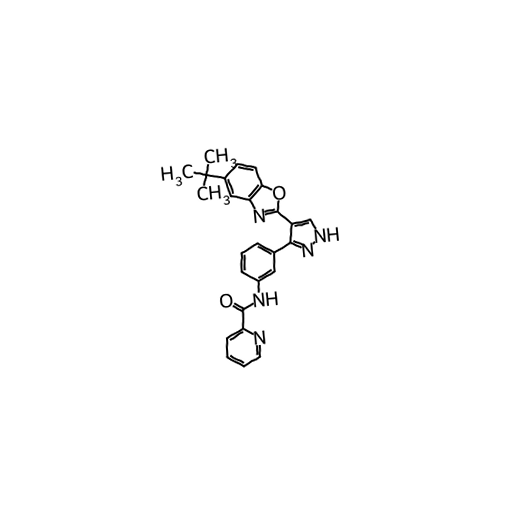 CC(C)(C)c1ccc2oc(-c3c[nH]nc3-c3cccc(NC(=O)c4ccccn4)c3)nc2c1